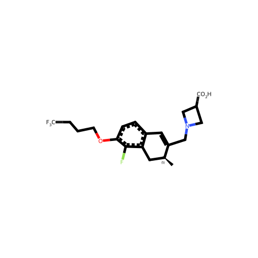 C[C@H]1Cc2c(ccc(OCCCC(F)(F)F)c2F)C=C1CN1CC(C(=O)O)C1